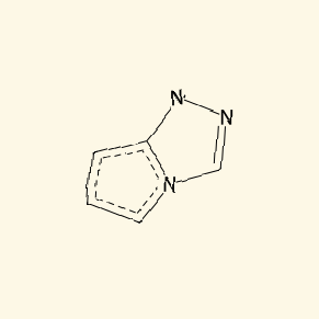 C1=N[N]c2cccn21